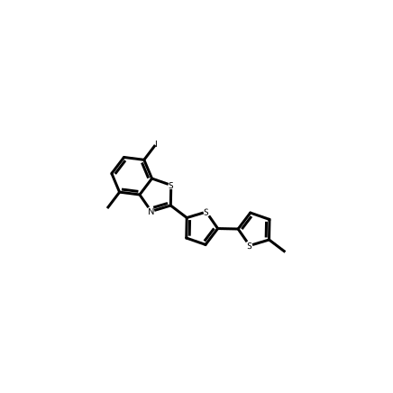 Cc1ccc(-c2ccc(-c3nc4c(C)ccc(I)c4s3)s2)s1